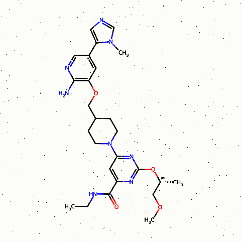 CCNC(=O)c1cc(N2CCC(COc3cc(-c4cncn4C)cnc3N)CC2)nc(O[C@H](C)COC)n1